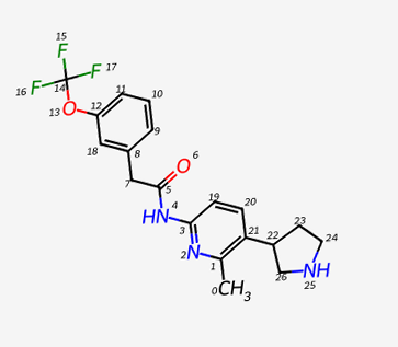 Cc1nc(NC(=O)Cc2cccc(OC(F)(F)F)c2)ccc1C1CCNC1